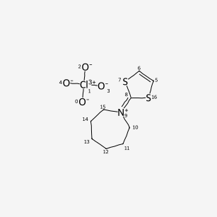 [O-][Cl+3]([O-])([O-])[O-].c1csc(=[N+]2CCCCCC2)s1